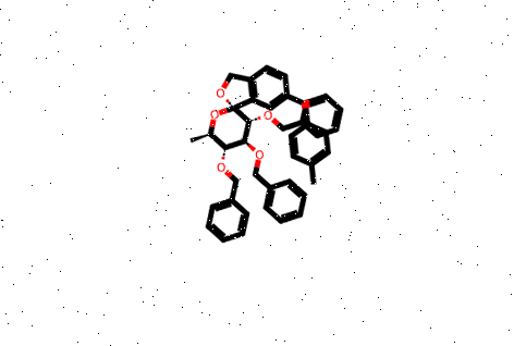 Cc1ccc(Cc2ccc3c(c2)[C@]2(OC3)O[C@H](C)[C@@H](OCc3ccccc3)[C@H](OCc3ccccc3)[C@H]2OCc2ccccc2)cc1